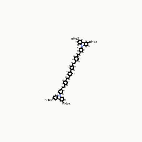 CCCCCCc1ccc2c(c1)c1cc(CCCCCC)ccc1n2-c1ccc(/C=C/c2ccc(/C=C/c3ccc(-c4ccc(/C=C/c5ccc(/C=C/c6ccc(-n7c8ccc(CCCCCC)cc8c8cc(CCCCCC)ccc87)cc6)cc5)cc4)cc3)cc2)cc1